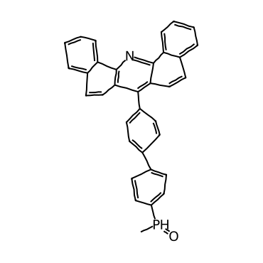 C[PH](=O)c1ccc(-c2ccc(-c3c4ccc5ccccc5c4nc4c3ccc3ccccc34)cc2)cc1